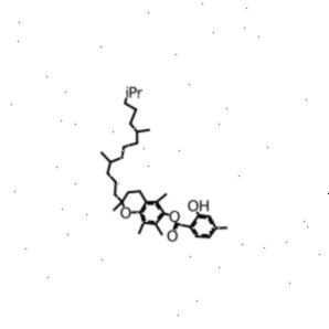 Cc1ccc(C(=O)Oc2c(C)c(C)c3c(c2C)CCC(C)(CCCC(C)CCCC(C)CCCC(C)C)O3)c(O)c1